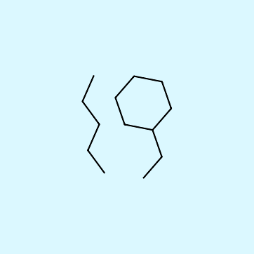 CCC1CCCCC1.CCCCC